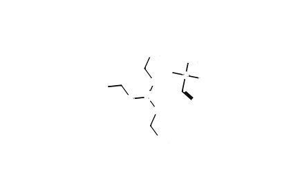 C=C[N+](C)(C)C.CCO[SiH](OCC)OCC.[Cl-]